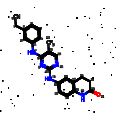 N#CCc1cccc(Nc2nc(Nc3ccc4c(c3)CCC(=O)N4)ncc2C(F)(F)F)c1